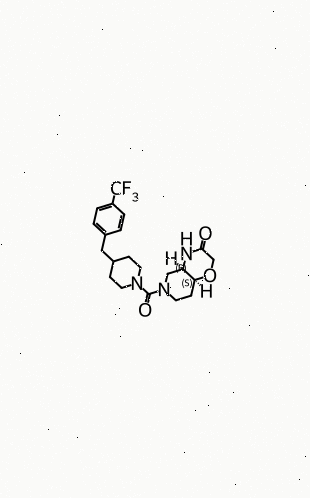 O=C1CO[C@H]2CCN(C(=O)N3CCC(Cc4ccc(C(F)(F)F)cc4)CC3)C[C@H]2N1